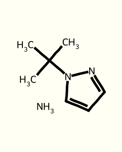 CC(C)(C)n1cccn1.N